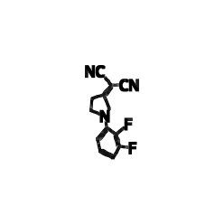 N#CC(C#N)=C1CCN(c2cccc(F)c2F)C1